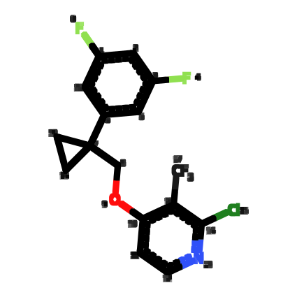 Fc1cc(F)cc(C2(COc3ccnc(Cl)c3C(F)(F)F)CC2)c1